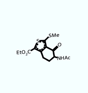 CCOC(=O)c1sc(SC)c2c1CCC(NC(C)=O)C2=O